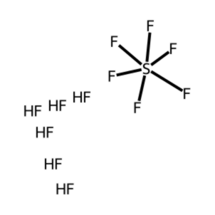 F.F.F.F.F.F.FS(F)(F)(F)(F)F